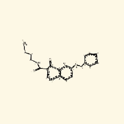 CCCCNC(=O)c1c[nH]c2ccc(NCc3ccccc3)nc2c1=O